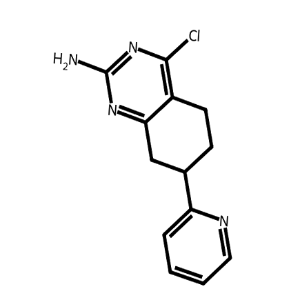 Nc1nc(Cl)c2c(n1)CC(c1ccccn1)CC2